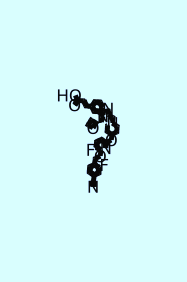 N#Cc1ccc(COc2nc(OC3CCN(Cc4nc5ccc(/C=C/C(=O)O)cc5n4C[C@@H]4CCO4)CC3)ccc2F)c(F)c1